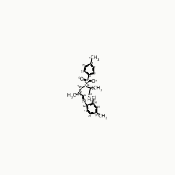 Cc1ccc(S(=O)(=O)N(SN(C)C=Nc2ccc(C)cc2Cl)C(C)C)cc1